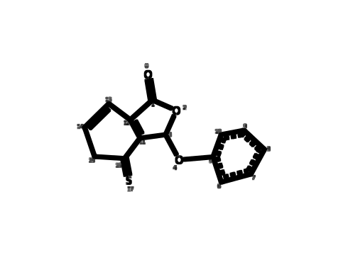 O=C1OC(Oc2ccccc2)C2=C1C=CCC2=S